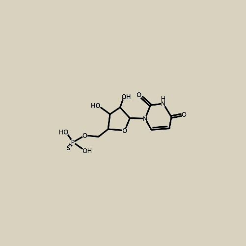 O=c1ccn(C2OC(COP(O)(O)=S)C(O)C2O)c(=O)[nH]1